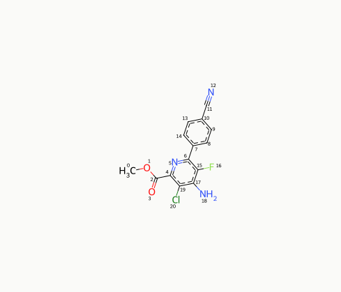 COC(=O)c1nc(-c2ccc(C#N)cc2)c(F)c(N)c1Cl